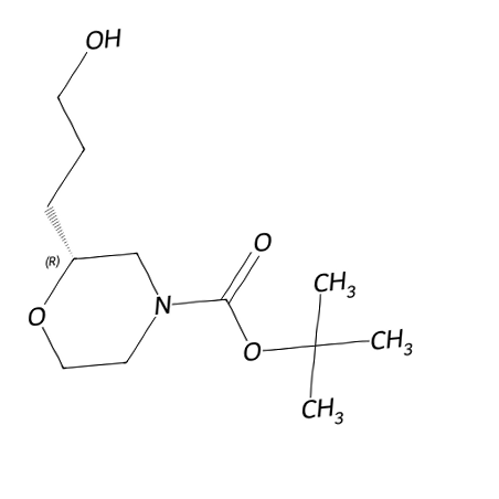 CC(C)(C)OC(=O)N1CCO[C@H](CCCO)C1